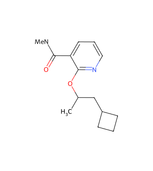 CNC(=O)c1cccnc1OC(C)CC1CCC1